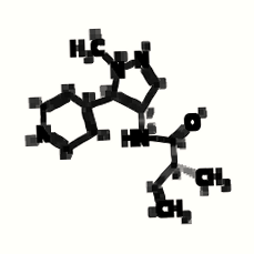 C=C[C@@H](C)C(=O)Nc1cnn(C)c1-c1ccncc1